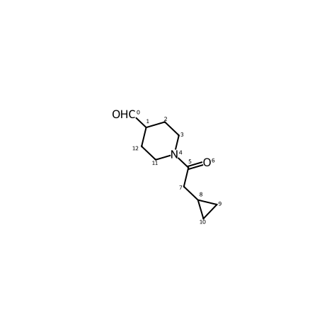 O=CC1CCN(C(=O)CC2CC2)CC1